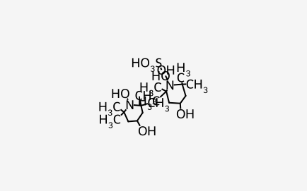 CC1(C)CC(O)CC(C)(C)N1O.CC1(C)CC(O)CC(C)(C)N1O.O=S(=O)(O)O